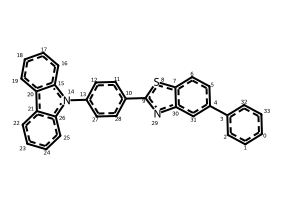 c1ccc(-c2ccc3sc(-c4ccc(-n5c6ccccc6c6ccccc65)cc4)nc3c2)cc1